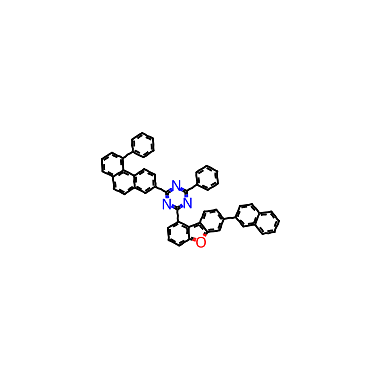 c1ccc(-c2nc(-c3ccc4c(ccc5cccc(-c6ccccc6)c54)c3)nc(-c3cccc4oc5cc(-c6ccc7ccccc7c6)ccc5c34)n2)cc1